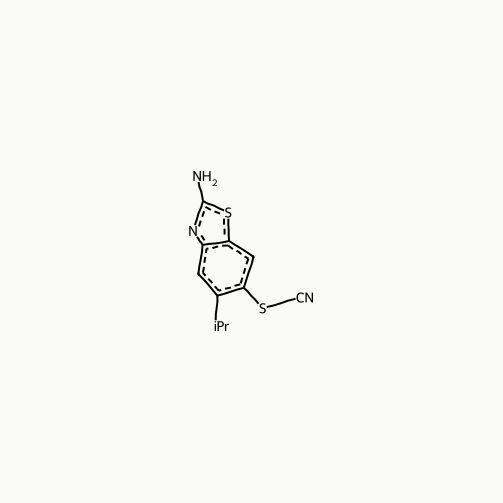 CC(C)c1cc2nc(N)sc2cc1SC#N